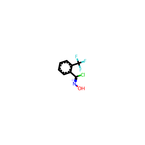 O/N=C(\Cl)c1ccccc1C(F)(F)F